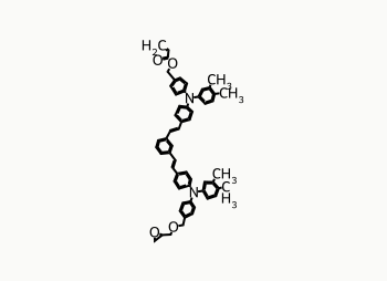 C=CC(=O)OCc1ccc(N(c2ccc(C=Cc3cccc(C=Cc4ccc(N(c5ccc(COCC6CO6)cc5)c5ccc(C)c(C)c5)cc4)c3)cc2)c2ccc(C)c(C)c2)cc1